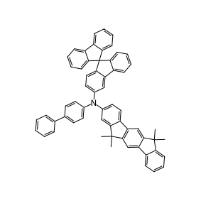 CC1(C)c2ccccc2-c2cc3c(cc21)-c1ccc(N(c2ccc(-c4ccccc4)cc2)c2ccc4c(c2)-c2ccccc2C42c4ccccc4-c4ccccc42)cc1C3(C)C